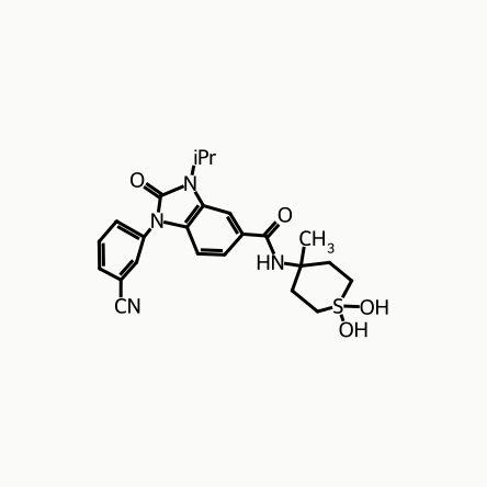 CC(C)n1c(=O)n(-c2cccc(C#N)c2)c2ccc(C(=O)NC3(C)CCS(O)(O)CC3)cc21